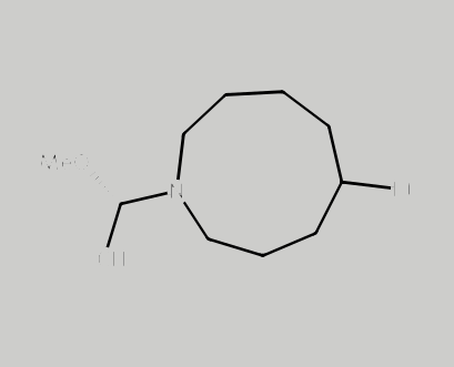 CCC1CCCCN([C@H](C)OC)CCC1